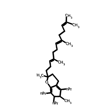 CCCC1=C2CCC(C)(CC/C=C(\C)CC/C=C(\C)CCC=C(C)C)OC2=C(CCC)C(CCC)C1C